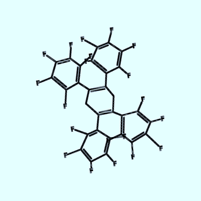 Fc1c(F)c(F)c(C2=C(c3c(F)c(F)c(F)c(F)c3F)CC(c3c(F)c(F)c(F)c(F)c3F)=C(c3c(F)c(F)c(F)c(F)c3F)C2)c(F)c1F